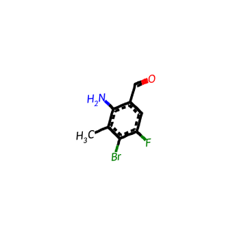 Cc1c(N)c(C=O)cc(F)c1Br